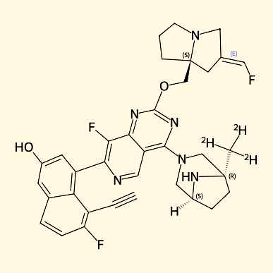 [2H]C([2H])([2H])[C@@]12CC[C@@H](CN(c3nc(OC[C@@]45CCCN4C/C(=C/F)C5)nc4c(F)c(-c5cc(O)cc6ccc(F)c(C#C)c56)ncc34)C1)N2